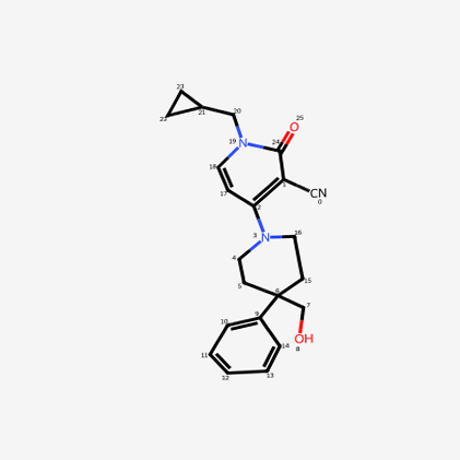 N#Cc1c(N2CCC(CO)(c3ccccc3)CC2)ccn(CC2CC2)c1=O